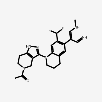 CN/C=C(\C=N)c1cc2c(cc1C(F)F)N(c1n[nH]c3c1CN(C(C)=O)CC3)CCC2